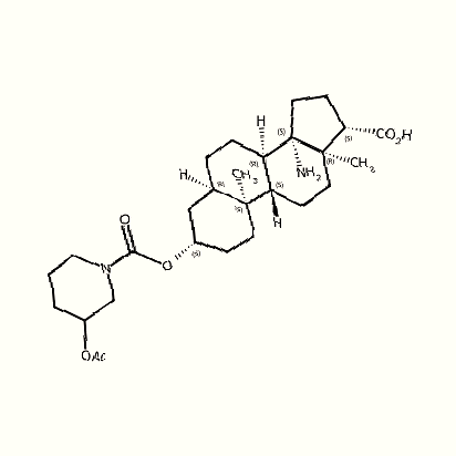 CC(=O)OC1CCCN(C(=O)O[C@H]2CC[C@@]3(C)[C@H](CC[C@@H]4[C@@H]3CC[C@]3(C)[C@@H](C(=O)O)CC[C@]43N)C2)C1